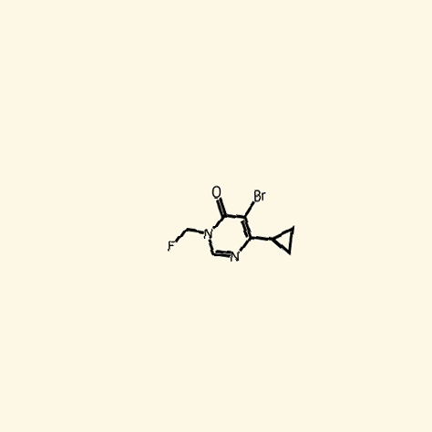 O=c1c(Br)c(C2CC2)ncn1CF